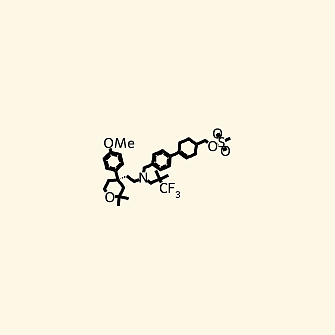 COc1ccc([C@]2(CCN(Cc3ccc(C4=CCC(COS(C)(=O)=O)CC4)cc3)CC(C)(C)C(F)(F)F)CCOC(C)(C)C2)cc1